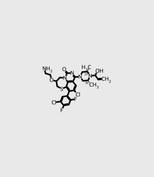 C=CC(O)N1[C@H](C)CN(c2nc(=O)n3c4c(c(-c5cc(Cl)c(F)cc5F)c(Cl)cc24)SCC(OCCN)C3)C[C@@H]1C